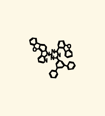 c1ccc(-c2cc(-c3ccccc3)cc(-c3nc(-c4cccc5oc6ccccc6c45)nc(-n4c5ccc6c7ccccc7oc6c5c5cccnc54)n3)c2)cc1